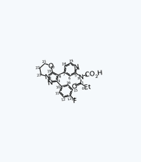 CCC(=O)N(C(=O)O)c1cc(-c2c(-c3ccc(F)cc3)nn3c2OCCC3)ccn1